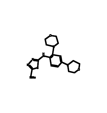 CNc1nnc(Nc2ccc(N3CCOCC3)cc2N2CCOCC2)s1